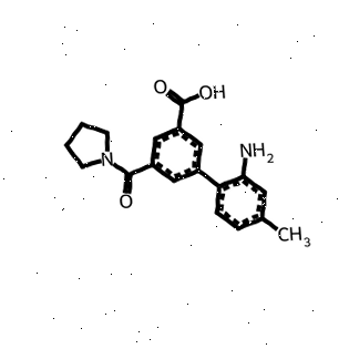 Cc1ccc(-c2cc(C(=O)O)cc(C(=O)N3CCCC3)c2)c(N)c1